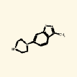 Cc1nsc2cc(N3CCNCC3)ccc12